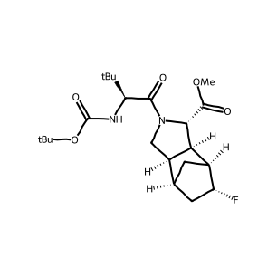 COC(=O)[C@@H]1[C@@H]2[C@H](CN1C(=O)[C@@H](NC(=O)OC(C)(C)C)C(C)(C)C)[C@H]1C[C@@H]2[C@H](F)C1